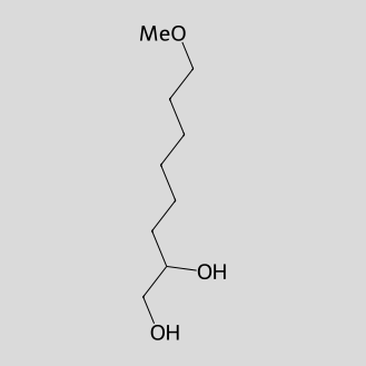 COCCCCCCC(O)CO